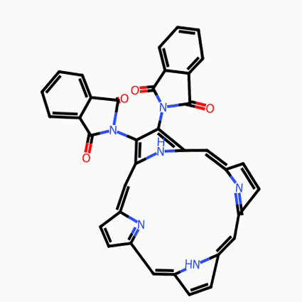 O=C1c2ccccc2C(=O)N1c1c(N2C(=O)c3ccccc3C2=O)c2cc3nc(cc4ccc(cc5nc(cc1[nH]2)C=C5)[nH]4)C=C3